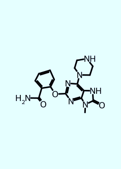 Cn1c(=O)[nH]c2c(N3CCNCC3)nc(Oc3ccccc3C(N)=O)nc21